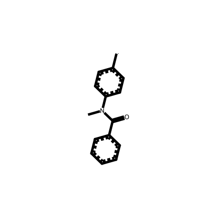 [CH2]c1ccc(N(C)C(=O)c2ccccc2)cc1